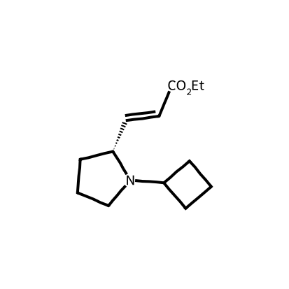 CCOC(=O)/C=C/[C@H]1CCCN1C1CCC1